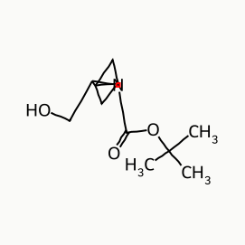 CC(C)(C)OC(=O)N1C(CO)C23CC12C3